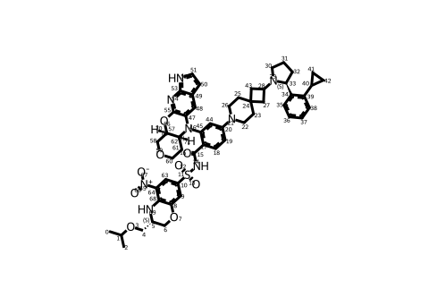 CC(C)OC[C@H]1COc2cc(S(=O)(=O)NC(=O)c3ccc(N4CCC5(CC4)CC(N4CCC[C@H]4c4ccccc4C4CC4)C5)cc3N3c4cc5cc[nH]c5nc4O[C@H]4COCC[C@H]43)cc([N+](=O)[O-])c2N1